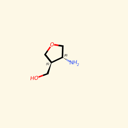 N[C@H]1COC[C@@H]1CO